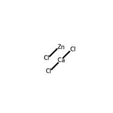 [Cl][Ca][Cl].[Cl][Zn]